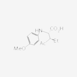 CC[C@@H](C(C)=O)[C@H](Nc1ccc(OC)cc1)C(=O)O